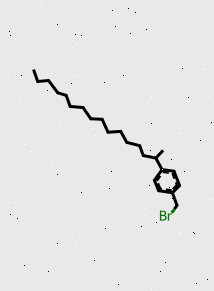 CCCCCCCCCCCCCCC(C)c1ccc(CBr)cc1